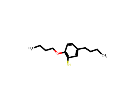 CCCCOc1ccc(CCCC)cc1S